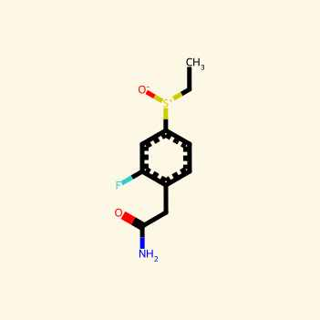 CC[S+]([O-])c1ccc(CC(N)=O)c(F)c1